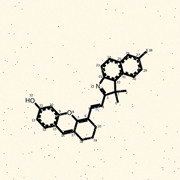 CC1(C)C(/C=C/C2=C3Oc4cc(O)ccc4C=C3CCC2)=Nc2ccc3cc(I)ccc3c21